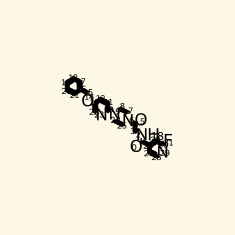 O=C(NCC(=O)N1CCN(c2ccc(OCc3ccccc3)cn2)CC1)c1ccnc([18F])c1